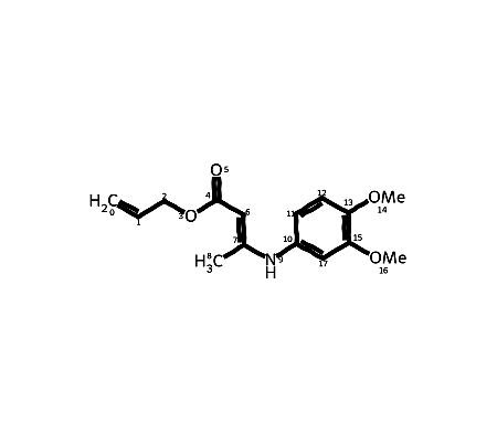 C=CCOC(=O)C=C(C)Nc1ccc(OC)c(OC)c1